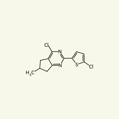 CC1Cc2nc(-c3ccc(Cl)s3)nc(Cl)c2C1